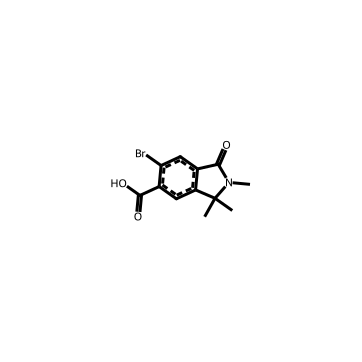 CN1C(=O)c2cc(Br)c(C(=O)O)cc2C1(C)C